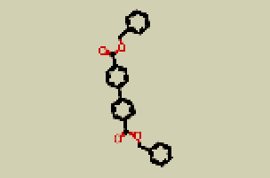 O=C(OCc1ccccc1)c1ccc(-c2ccc(C(=O)OCc3ccccc3)cc2)cc1